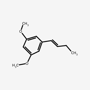 CCC=Cc1cc(OC)cc(OC)c1